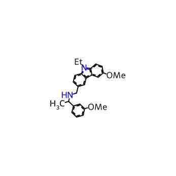 CCn1c2ccc(CNC(C)c3cccc(OC)c3)cc2c2cc(OC)ccc21